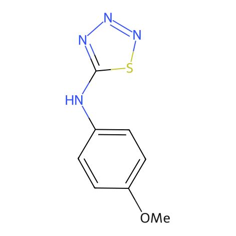 COc1ccc(Nc2nnns2)cc1